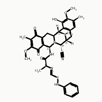 COC1=C(C)C(=O)C2=C(C1=O)[C@H](NC(=O)C(C)/N=C/SNc1ccccc1)N1C(C2)[C@@H]2c3c(cc(C)c(OC)c3O)C[C@H]([C@@H]1C#N)N2C